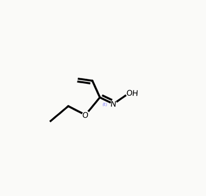 C=C/C(=N\O)OCC